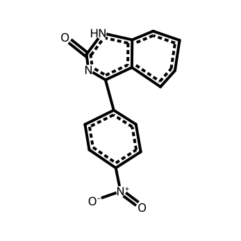 O=c1nc(-c2ccc([N+](=O)[O-])cc2)c2ccccc2[nH]1